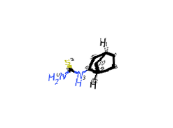 NC(=S)N[C@H]1C[C@H]2CC[C@H]1C2